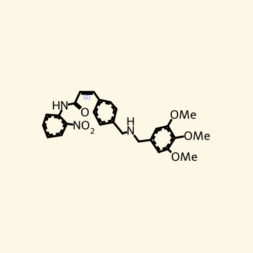 COc1cc(CNCc2ccc(/C=C\C(=O)Nc3ccccc3[N+](=O)[O-])cc2)cc(OC)c1OC